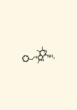 Cc1nc(N)c2nc(C)n(CCc3ccccc3)c2c1C